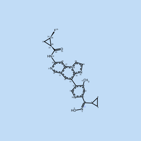 Cc1cc(/C(=N\O)C2CC2)ncc1-c1cc2cnc(NC(=O)[C@H]3C[C@H]3F)cc2n2ccnc12